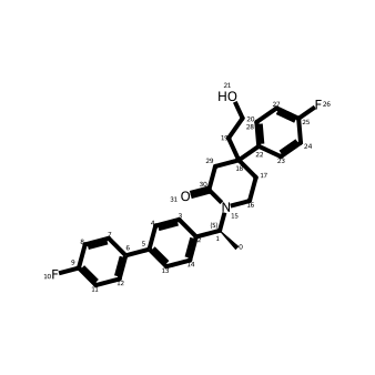 C[C@@H](c1ccc(-c2ccc(F)cc2)cc1)N1CCC(CCO)(c2ccc(F)cc2)CC1=O